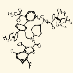 COc1ccc(-c2ccccc2S(C)(=O)=O)cc1CN(C(=O)c1sc2c(F)ccc(F)c2c1Cl)[C@H]1CC[C@H](N(C)C(=O)OC(C)(C)C)CC1